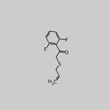 C=CCSCC(=O)c1c(F)cccc1F